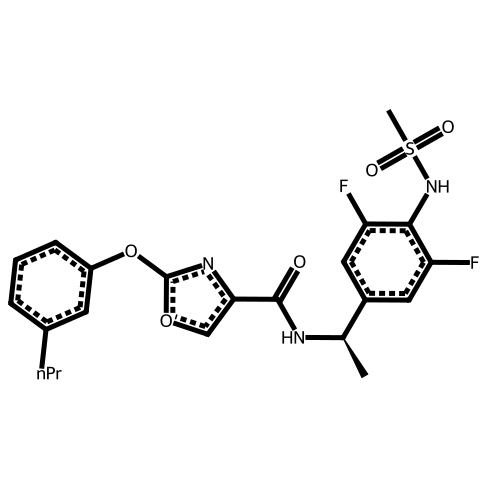 CCCc1cccc(Oc2nc(C(=O)N[C@H](C)c3cc(F)c(NS(C)(=O)=O)c(F)c3)co2)c1